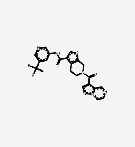 O=C(Nc1cncc(C(F)(F)F)c1)c1csc2c1CCN(C(=O)c1cnn3ccncc13)C2